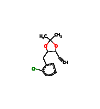 C#CC1OC(C)(C)OC1Cc1ccccc1Cl